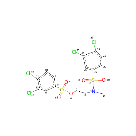 CN(CCOS(=O)(=O)c1ccc(Cl)c(Cl)c1)S(=O)(=O)c1ccc(Cl)c(Cl)c1